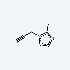 C#CCn1ncnc1C